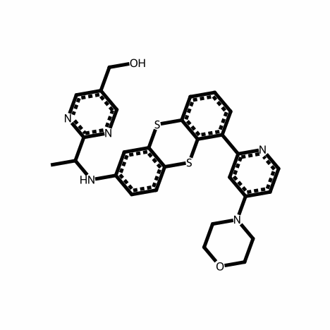 CC(Nc1ccc2c(c1)Sc1cccc(-c3cc(N4CCOCC4)ccn3)c1S2)c1ncc(CO)cn1